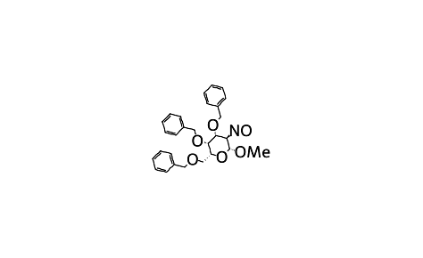 CO[C@@H]1O[C@H](COCc2ccccc2)[C@H](OCc2ccccc2)[C@H](OCc2ccccc2)[C@H]1N=O